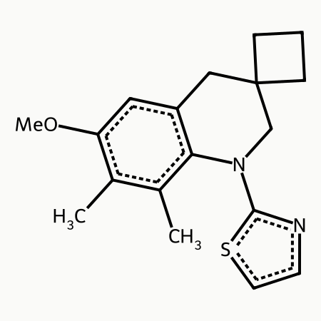 COc1cc2c(c(C)c1C)N(c1nccs1)CC1(CCC1)C2